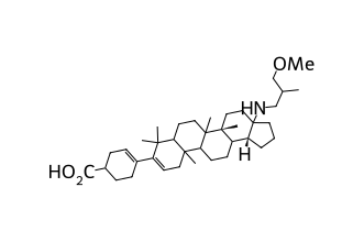 COCC(C)CNC12CCC[C@@H]1C1CCC3C4(C)CC=C(C5=CCC(C(=O)O)CC5)C(C)(C)C4CCC3(C)[C@]1(C)CC2